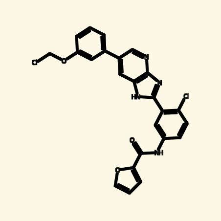 O=C(Nc1ccc(Cl)c(-c2nc3ncc(-c4cccc(OCCl)c4)cc3[nH]2)c1)c1ccco1